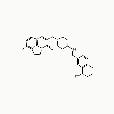 O=c1c(CN2CCC(NCc3ccc4c(c3)C(O)CCC4)CC2)cc2ccc(F)c3c2n1CC3